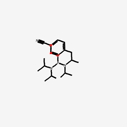 CC(C)N(C(C)C)P(OCCC#N)N(C(C)C)C(C)Cc1ccncc1